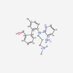 Cc1ccc(N(CCCN(C)C)c2ncccc2N)c(-c2ccccc2C=O)c1